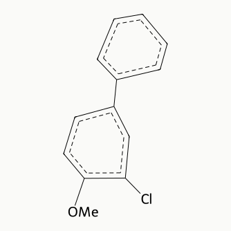 COc1ccc(-c2ccccc2)cc1Cl